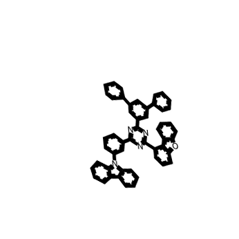 c1ccc(-c2cc(-c3ccccc3)cc(-c3nc(-c4cccc(-n5c6ccccc6c6ccccc65)c4)nc(-c4cccc5oc6ccccc6c45)n3)c2)cc1